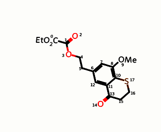 CCOC(=O)C(=O)OCCc1cc(OC)c2c(c1)C(=O)CCS2